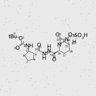 CC(C)(C)OC(=O)N[C@@H]1CCC[C@H]1C(=O)NNC(=O)[C@@H]1CC[C@H]2CN1C(=O)N2OS(=O)(=O)O